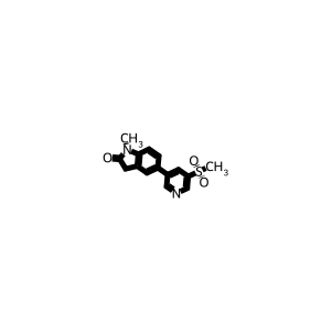 CN1C(=O)Cc2cc(-c3cncc(S(C)(=O)=O)c3)ccc21